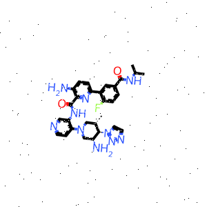 CC(C)NC(=O)c1ccc(F)c(-c2ccc(N)c(C(=O)Nc3cnccc3N3C[C@@H](N)[C@@H](n4ccnn4)[C@@H](C)C3)n2)c1